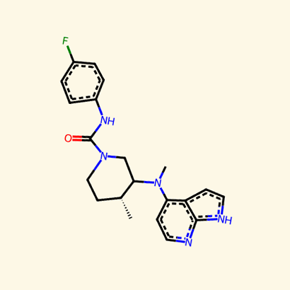 C[C@@H]1CCN(C(=O)Nc2ccc(F)cc2)CC1N(C)c1ccnc2[nH]ccc12